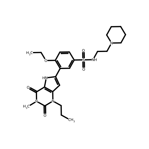 CCCn1c(=O)n(C)c(=O)c2[nH]c(-c3cc(S(=O)(=O)NCCN4CCCCC4)ccc3OCC)cc21